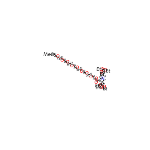 CCO[Si](CCCN(CCC[Si](OCC)(OCC)OCC)CCC(=O)OCCOCCOCCOCCOCCOCCOCCOCCOCCOC)(OCC)OCC